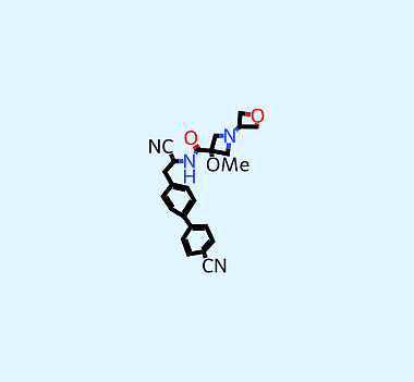 COC1(C(=O)NC(C#N)Cc2ccc(-c3ccc(C#N)cc3)cc2)CN(C2COC2)C1